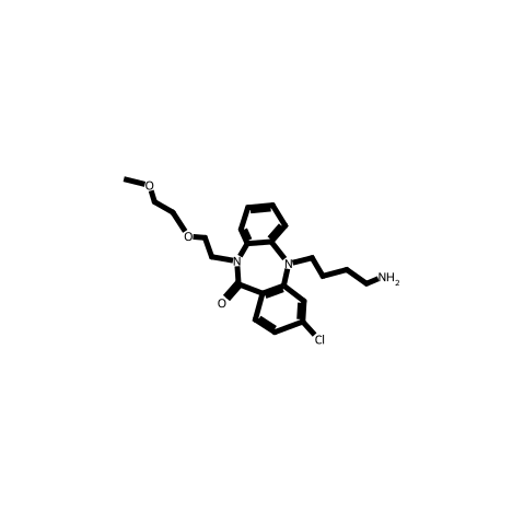 COCCOCCN1C(=O)c2ccc(Cl)cc2N(CCCCN)c2ccccc21